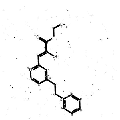 CCOC(=O)C(O)=Cc1cc(CCc2ccccc2)cnn1